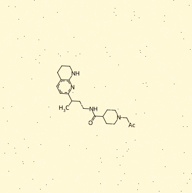 CC(=O)CN1CCC(C(=O)NCCC(C)c2ccc3c(n2)NCCC3)CC1